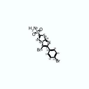 NS(=O)(=O)c1nn2c(Br)c(-c3ccc(Br)cc3)nc2s1